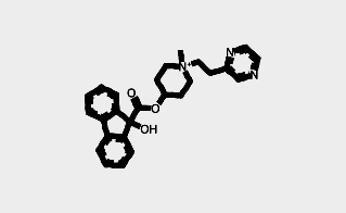 C[N+]1(CCc2cnccn2)CCC(OC(=O)C2(O)c3ccccc3-c3ccccc32)CC1